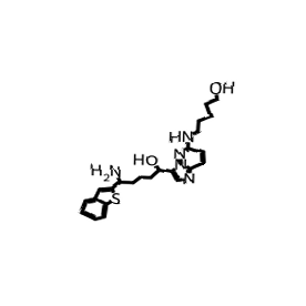 NC(CCCC(O)c1cnc2ccc(NCCCCCO)nn12)c1cc2ccccc2s1